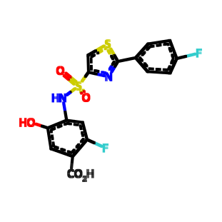 O=C(O)c1cc(O)c(NS(=O)(=O)c2csc(-c3ccc(F)cc3)n2)cc1F